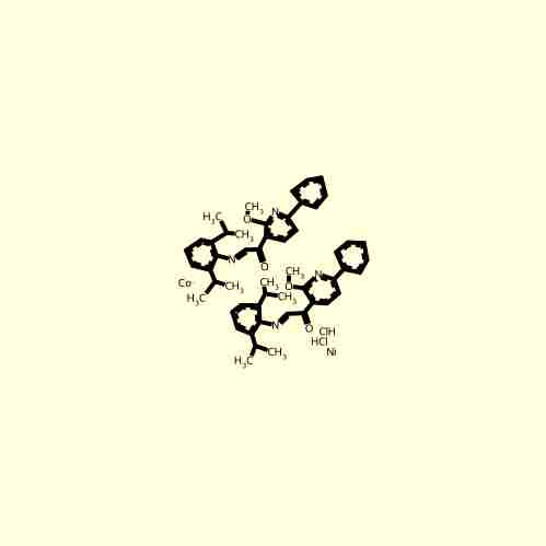 COc1nc(-c2ccccc2)ccc1C(=O)C=Nc1c(C(C)C)cccc1C(C)C.COc1nc(-c2ccccc2)ccc1C(=O)C=Nc1c(C(C)C)cccc1C(C)C.Cl.Cl.[Co].[Ni]